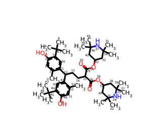 Cc1cc(O)c(C(C)(C)C)cc1C(CCC(C(=O)OC1CC(C)(C)NC(C)(C)C1)C(=O)OC1CC(C)(C)NC(C)(C)C1)c1cc(C(C)(C)C)c(O)cc1C